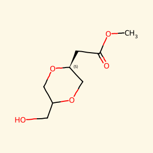 COC(=O)C[C@H]1COC(CO)CO1